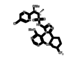 COc1ncnc(OC)c1-n1c(NS(=O)(=O)[C@@H](C)[C@H](OC)c2ncc(Cl)cn2)nnc1C1CCC(C(F)(F)F)CC1